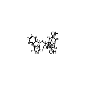 O[C@@H](C[C@@H]1c2ccccc2-c2cncn21)C12CC3CC(O)(CC(O)(C3)C1)C2